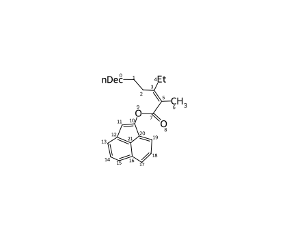 CCCCCCCCCCCCC(CC)=C(C)C(=O)OC1=Cc2cccc3cccc1c23